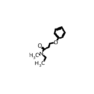 CCN(C)C(=O)CCOc1ccccc1